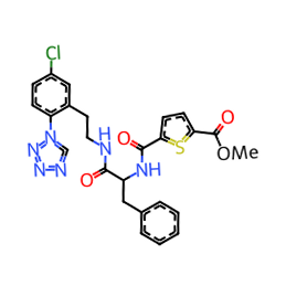 COC(=O)c1ccc(C(=O)NC(Cc2ccccc2)C(=O)NCCc2cc(Cl)ccc2-n2cnnn2)s1